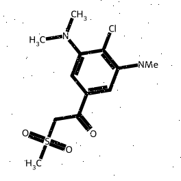 CNc1cc(C(=O)CS(C)(=O)=O)cc(N(C)C)c1Cl